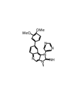 COc1ccc(-c2ccc3ncc4c(c3c2)n(-c2cncnc2)c(=N)n4C)cc1OC